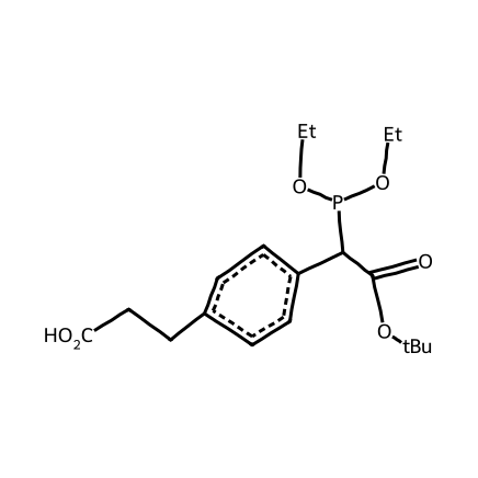 CCOP(OCC)C(C(=O)OC(C)(C)C)c1ccc(CCC(=O)O)cc1